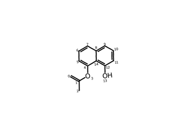 C=C(C)Oc1cccc2cccc(O)c12